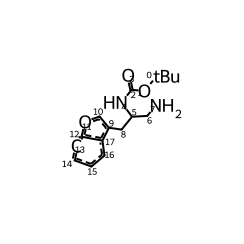 CC(C)(C)OC(=O)NC(CN)Cc1coc2ccccc12